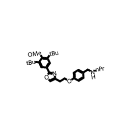 CCCNCc1ccc(OCCc2coc(-c3cc(C(C)(C)C)c(OC)c(C(C)(C)C)c3)n2)cc1